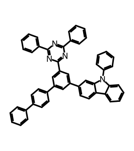 c1ccc(-c2ccc(-c3cc(-c4ccc5c6ccccc6n(-c6ccccc6)c5c4)cc(-c4nc(-c5ccccc5)nc(-c5ccccc5)n4)c3)cc2)cc1